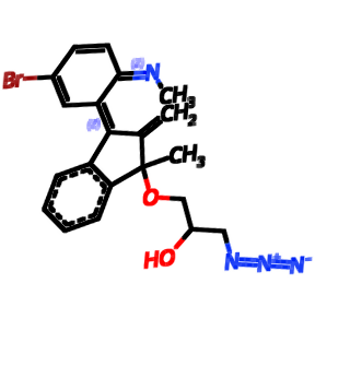 C=C1/C(=C2/C=C(Br)C=C/C2=N/C)c2ccccc2C1(C)OCC(O)CN=[N+]=[N-]